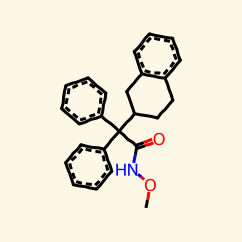 CONC(=O)C(c1ccccc1)(c1ccccc1)C1CCc2ccccc2C1